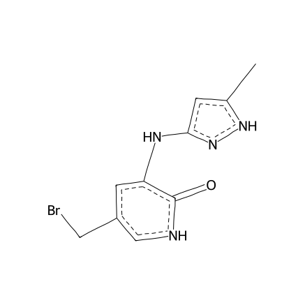 Cc1cc(Nc2cc(CBr)c[nH]c2=O)n[nH]1